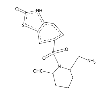 NCC1CCCC(C=O)N1S(=O)(=O)c1ccc2[nH]c(=O)sc2c1